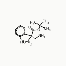 CC(C)(C)OC(=O)[C@@](CN)(C(=O)O)c1ccccc1Br